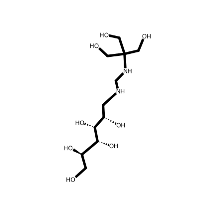 OC[C@@H](O)[C@@H](O)[C@H](O)[C@@H](O)CNCNC(CO)(CO)CO